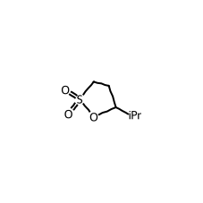 CC(C)C1CCS(=O)(=O)O1